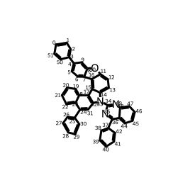 c1ccc(-c2ccc3c(c2)oc2ccc4c(c23)c2c3ccccc3c(-c3ccccc3)cc2n4-c2nc(-c3ccccc3)c3ccccc3n2)cc1